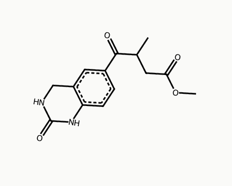 COC(=O)CC(C)C(=O)c1ccc2c(c1)CNC(=O)N2